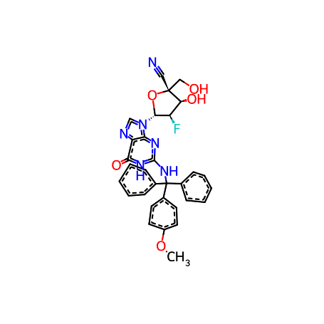 COc1ccc(C(Nc2nc3c(ncn3[C@@H]3O[C@](C#N)(CO)[C@@H](O)[C@H]3F)c(=O)[nH]2)(c2ccccc2)c2ccccc2)cc1